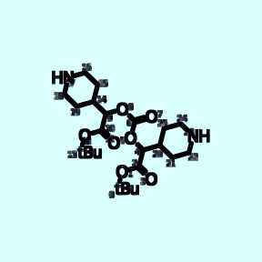 CC(C)(C)OC(=O)C(OC(=O)OC(C(=O)OC(C)(C)C)C1CCNCC1)C1CCNCC1